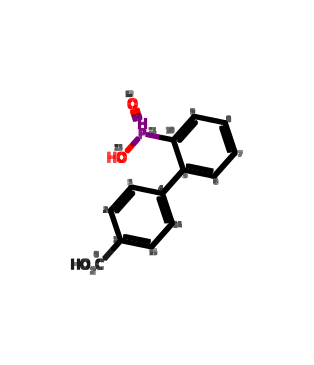 O=C(O)c1ccc(-c2ccccc2[PH](=O)O)cc1